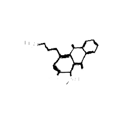 CNc1c(N)cc(CCCN)c2c1C(=O)c1ccccc1C2=O